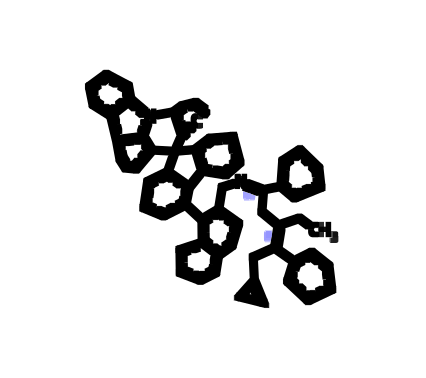 CC/C(C/C(=N\Cc1ccc2ccccc2c1-c1cccc2c1-c1ccccc1C21c2ccccc2-n2c3ccccc3c3cccc1c32)c1ccccc1)=C(/CC1=CC1)c1ccccc1